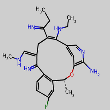 CCN/C1=C(\C(=N)CC)C/C(=C/NC)C(=N)c2ccc(F)cc2[C@@H](C)Oc2cc1cnc2N